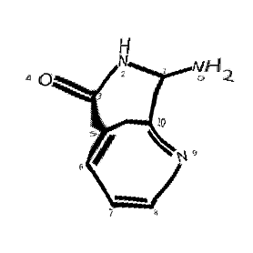 NC1NC(=O)c2cccnc21